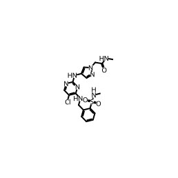 CNC(=O)Cn1cc(Nc2ncc(Cl)c(NCc3ccccc3S(=O)(=O)NC)n2)cn1